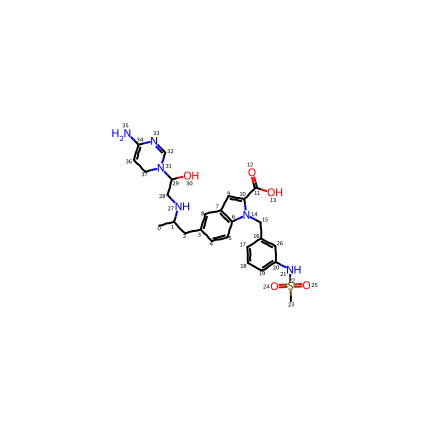 CC(Cc1ccc2c(c1)cc(C(=O)O)n2Cc1cccc(NS(C)(=O)=O)c1)NCC(O)N1C=NC(N)=CC1